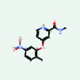 CNC(=O)c1cc(Oc2cc([N+](=O)[O-])ccc2C)ccn1